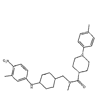 Cc1ccc(N2CCC(C(=O)N(C)CC3CCC(Nc4ccc([N+](=O)[O-])c(C)c4)CC3)CC2)cc1